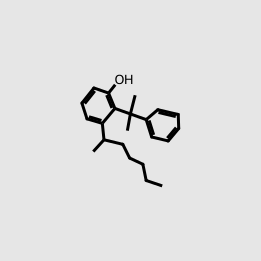 CCCCCC(C)c1cccc(O)c1C(C)(C)c1ccccc1